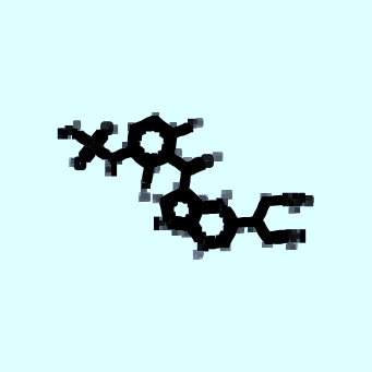 CCCS(=O)(=O)Nc1ccc(F)c(C(=O)c2c[nH]c3ncc(C(C=N)CNC)nc23)c1F